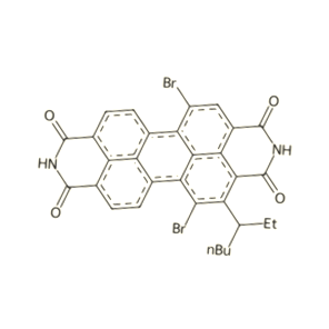 CCCCC(CC)c1c2c3c(cc(Br)c4c5ccc6c7c(ccc(c(c1Br)c34)c75)C(=O)NC6=O)C(=O)NC2=O